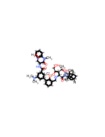 COc1c(CN2O[C@@H](CO)[C@@H]([C@H](C)O)[C@H]2C(=O)N[C@H]2C[C@H]3C[C@@H]([C@@H]2C)C3(C)C)cccc1-c1cc(C(=O)NC(CN(C)C)C(=O)N(C)c2ccccc2)cc(N(C)C)c1